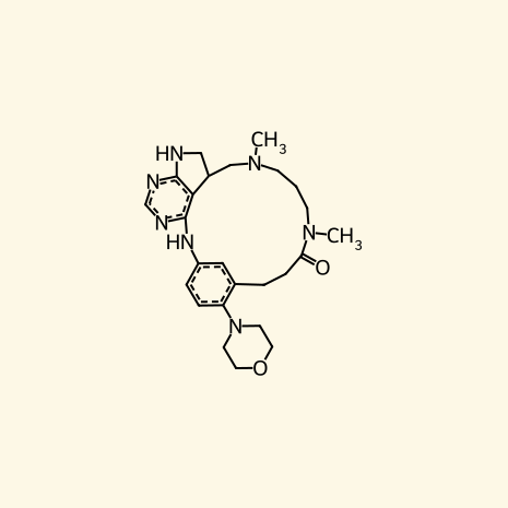 CN1CCCN(C)C(=O)CCc2cc(ccc2N2CCOCC2)Nc2ncnc3c2C(CN3)C1